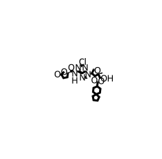 C[C@]1(CO)OCC(n2cnc3c(NC(=O)[C@H]4CCC(=O)O4)nc(Cl)nc32)[C@@H]1OC(=O)C1CCC2(CCCC2)CC1